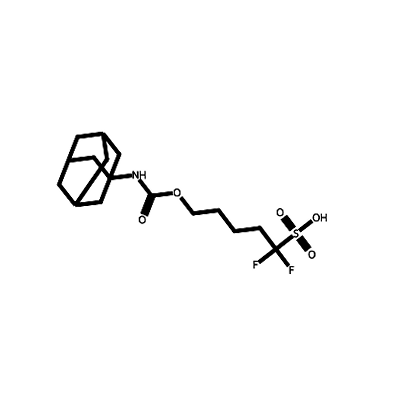 O=C(NC12CC3CC(CC(C3)C1)C2)OCCCCC(F)(F)S(=O)(=O)O